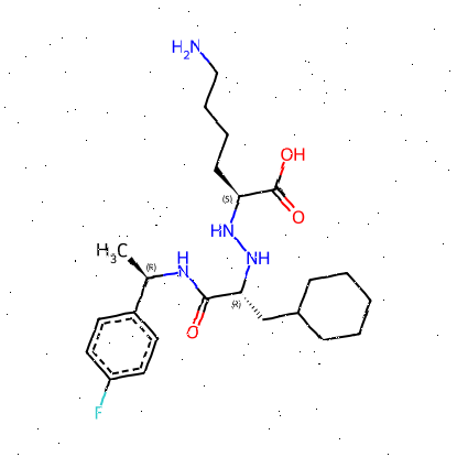 C[C@@H](NC(=O)[C@@H](CC1CCCCC1)NN[C@@H](CCCCN)C(=O)O)c1ccc(F)cc1